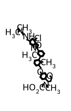 Cc1c(COc2ccc3c(c2)OCCC3N(C)CC(=O)O)cccc1-c1cccc(-c2nc3cc(CNCCN(C)C)cc(Cl)c3o2)c1C